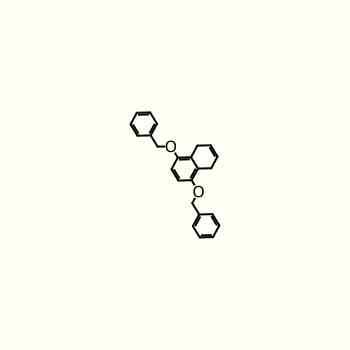 C1=CCc2c(OCc3ccccc3)ccc(OCc3ccccc3)c2C1